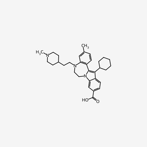 Cc1ccc2c(c1)N(CCC1CCN(C)CC1)CCn1c-2c(C2CCCCC2)c2ccc(C(=O)O)cc21